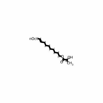 CCCCCCCCC=CCCCCCCCCOC(=O)C(C)O